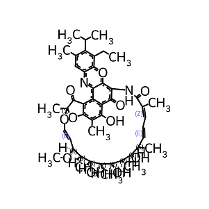 CCc1c(C(C)C)c(C)cc2nc3c4c5c6c(C)c(O)c4c(=O)c(c-3oc12)NC(=O)/C(C)=C\C=C\[C@H](C)[C@H](O)[C@@H](C)[C@@H](O)[C@@H](C)[C@H](O)[C@H](C)[C@@H](OC)/C=C/O[C@@](C)(O6)C5=O